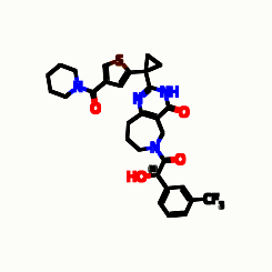 O=C(c1csc(C2(c3nc4c(c(=O)[nH]3)CN(C(=O)[C@H](O)c3cccc(C(F)(F)F)c3)CCC4)CC2)c1)N1CCCCC1